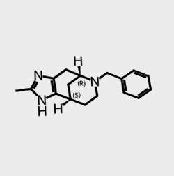 Cc1nc2c([nH]1)[C@H]1CCN(Cc3ccccc3)[C@@H](C2)C1